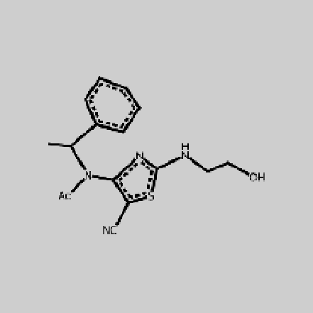 CC(=O)N(c1nc(NCCO)sc1C#N)C(C)c1ccccc1